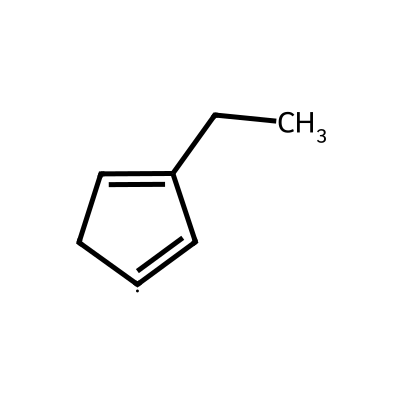 CCC1=CC[C]=C1